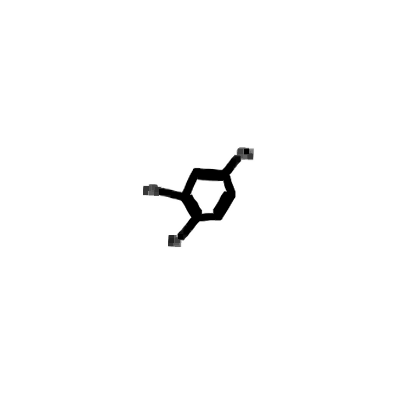 CCCc1cc(C#N)ccc1CC